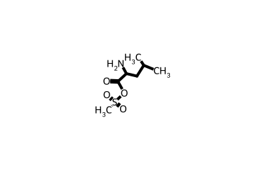 CC(C)CC(N)C(=O)OS(C)(=O)=O